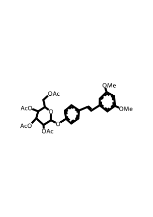 COc1cc(C=Cc2ccc(OC3OC(COC(C)=O)C(OC(C)=O)C(OC(C)=O)C3OC(C)=O)cc2)cc(OC)c1